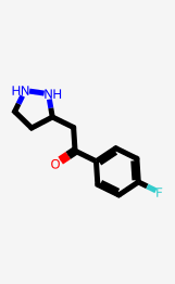 O=C(CC1CCNN1)c1ccc(F)cc1